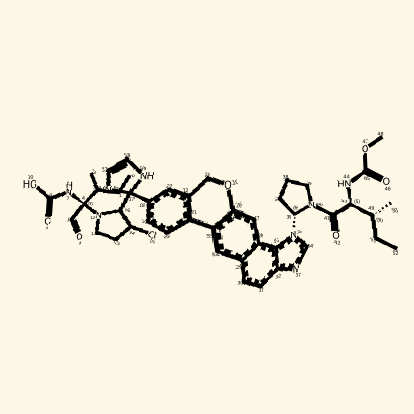 CCC(C)[C@](C=O)(NC(=O)O)N1CCC(Cl)C1C1(c2ccc3c(c2)COc2cc4c(ccc5ncn([C@@H]6CCCN6C(=O)[C@@H](NC(=O)OC)[C@H](C)CC)c54)cc2-3)NC=CN1